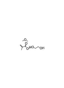 C=C(C)C(=O)OC.COC.OCCO